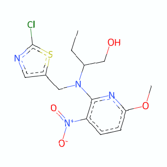 CCC(CO)N(Cc1cnc(Cl)s1)c1nc(OC)ccc1[N+](=O)[O-]